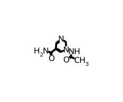 CC(=O)NN1C=C(C(N)=O)C=NC1